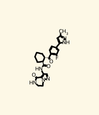 Cc1cc(-c2ccc(C(=O)[C@H]3CCCC[C@@H]3C(=O)Nc3cnn4c3C(=O)NCC4)c(F)c2)[nH]n1